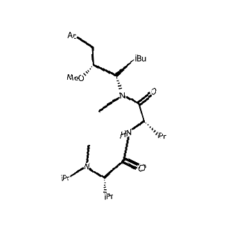 CC[C@H](C)[C@@H]([C@@H](CC(C)=O)OC)N(C)C(=O)[C@@H](NC(=O)[C@H](C(C)C)N(C)C(C)C)C(C)C